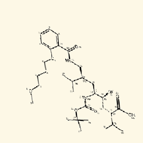 COCCCCOc1ccccc1C(=O)NC[C@@H](C[C@H](NC(=O)OC(C)(C)C)[C@@H](O)C[C@H](C(=O)O)C(C)C)C(C)C